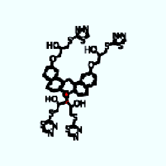 OC(COc1ccc2ccc(OCC(O)CSc3nncs3)c(Cc3c(OCC(O)CSc4nncs4)ccc4ccc(OCC(O)CSc5nncs5)cc34)c2c1)CSc1nncs1